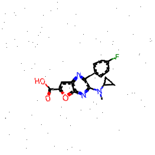 CN(c1nc2oc(C(=O)O)cc2nc1-c1ccc(F)cc1)C1CC1